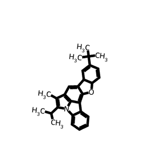 Cc1c(C(C)C)n2c3ccccc3c3c4c(cc1c32)C1C=C(C(C)(C)C)C=CC1O4